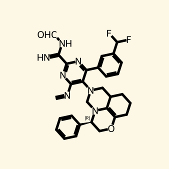 C=Nc1nc(C(=N)NC=O)nc(-c2cccc(C(F)F)c2)c1N1CC2CCCC3=C2N(C1)[C@H](c1ccccc1)CO3